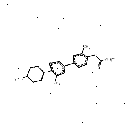 CCCCCCCC(=O)Oc1ccc(-c2ccc([C@H]3CC[C@H](CCCCC)CC3)c(C)c2)cc1C